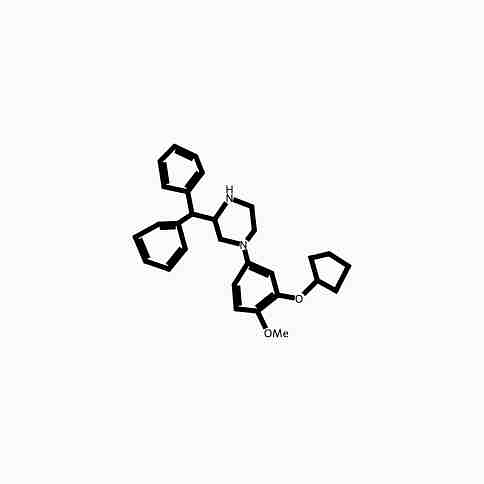 COc1ccc(N2CCNC(C(c3ccccc3)c3ccccc3)C2)cc1OC1CCCC1